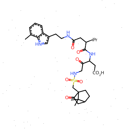 Cc1cccc2c(CCNC(=O)CC(C(=O)NC(CC(=O)O)C(=O)CNS(=O)(=O)CC34CCC(CC3=O)C4(C)C)C(C)C)c[nH]c12